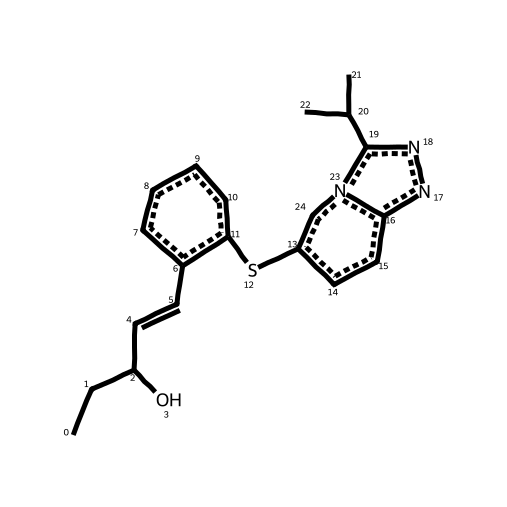 CCC(O)/C=C/c1ccccc1Sc1ccc2nnc(C(C)C)n2c1